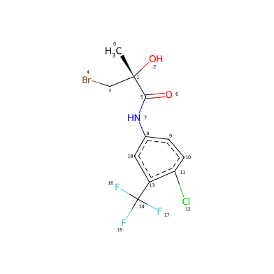 C[C@](O)(CBr)C(=O)Nc1ccc(Cl)c(C(F)(F)F)c1